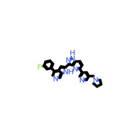 Fc1cccc(-c2cncc3[nH]c(-c4n[nH]c5ccc(-c6cncc(CN7CCCC7)c6)nc45)cc23)c1